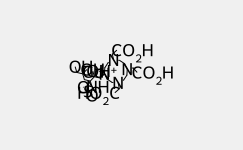 CS(=O)(=O)NC(CC(O)CO)C(O)C[N+]1([Gd])CCN(CC(=O)O)CCN(CC(=O)O)CCN(CC(=O)O)CC1